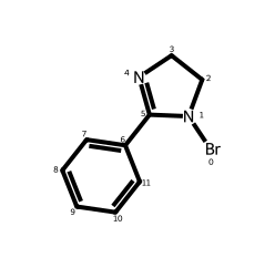 BrN1CCN=C1c1ccccc1